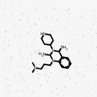 CN(C)CCCN1c2ccccc2C(N)N(C2CCNCC2)C1N